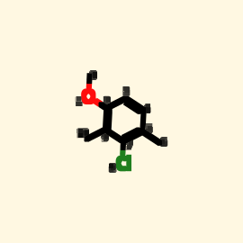 COc1ccc(C)c(Cl)c1C